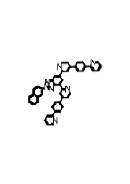 c1ccc(-c2ccc(-c3ccnc(-c4cc(-c5cc(-c6ccc(-c7ccccn7)cc6)ccn5)c5nn(-c6ccc7ccccc7c6)nc5c4)c3)cc2)nc1